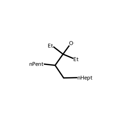 CCCCCCCCC(CCCCC)C([O])(CC)CC